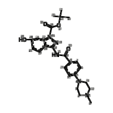 CN1CCN(c2ccc(C(=O)Nc3nn(C(=O)OC(C)(C)C)c4cc(O)ccc34)cc2)CC1